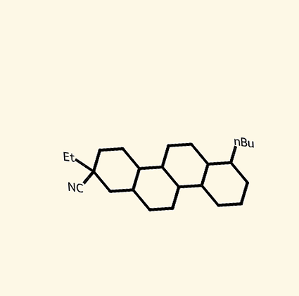 CCCCC1CCCC2C1CCC1C3CCC(C#N)(CC)CC3CCC21